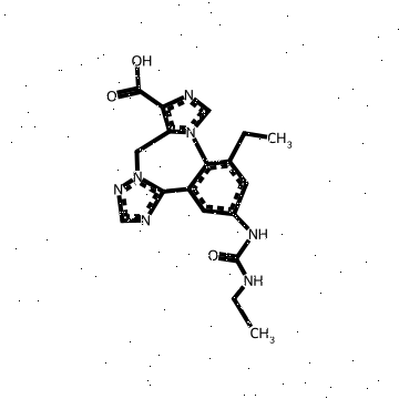 CCNC(=O)Nc1cc(CC)c2c(c1)-c1ncnn1Cc1c(C(=O)O)ncn1-2